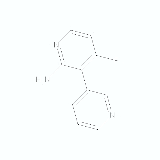 Nc1nccc(F)c1-c1cccnc1